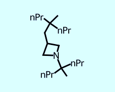 CCCC(C)(CCC)CC1CN(C(C)(CCC)CCC)C1